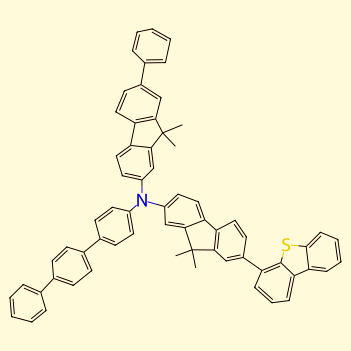 CC1(C)c2cc(-c3ccccc3)ccc2-c2ccc(N(c3ccc(-c4ccc(-c5ccccc5)cc4)cc3)c3ccc4c(c3)C(C)(C)c3cc(-c5cccc6c5sc5ccccc56)ccc3-4)cc21